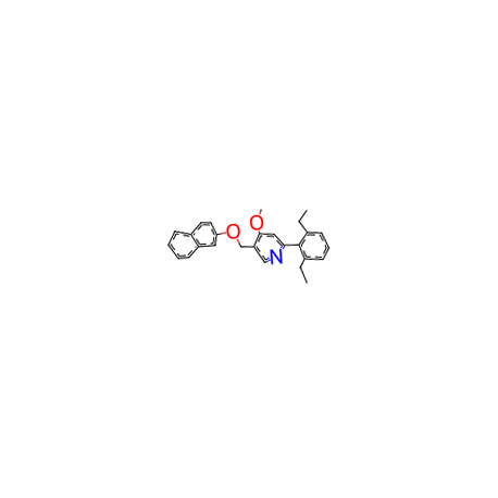 CCc1cccc(CC)c1-c1cc(OC)c(COc2ccc3ccccc3c2)cn1